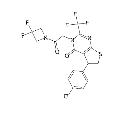 O=C(Cn1c(C(F)(F)F)nc2scc(-c3ccc(Cl)cc3)c2c1=O)N1CC(F)(F)C1